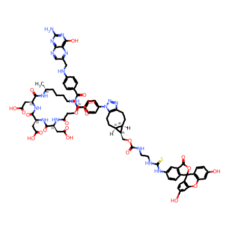 C[C@H](CCCCNC(=O)c1ccc(-n2nnc3c2CC[C@H]2[C@@H](CC3)[C@H]2COC(=O)NCCNC(=S)Nc2ccc3c(c2)C(=O)OC32c3ccc(O)cc3Oc3cc(O)ccc32)cc1)NC(=O)[C@H](CC(=O)O)NC(=O)[C@H](CC(=O)O)NC(=O)[C@H](CC(=O)O)NC(=O)CC[C@H](NC(=O)c1ccc(NCc2cnc3nc(N)nc(O)c3n2)cc1)C(=O)O